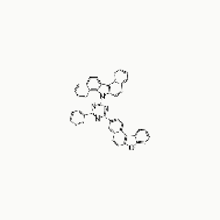 c1ccc(-c2nc(-c3ccc4c(ccc5oc6ccccc6c54)c3)nc(-n3c4ccc5ccccc5c4c4ccc5ccccc5c43)n2)cc1